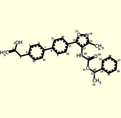 C=C(O)Cc1ccc(-c2ccc(-c3onc(C)c3NC(=O)O[C@H](C)c3ccccc3)cc2)cc1